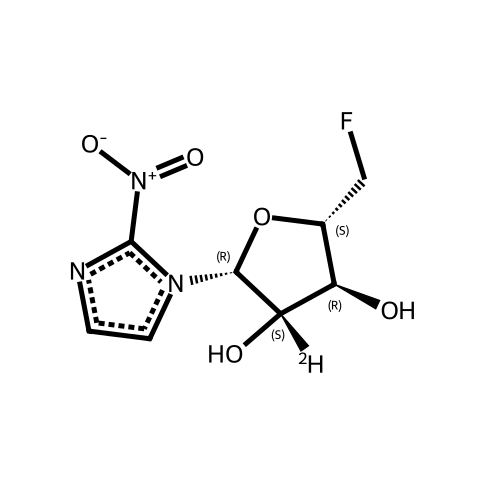 [2H][C@]1(O)[C@H](O)[C@@H](CF)O[C@H]1n1ccnc1[N+](=O)[O-]